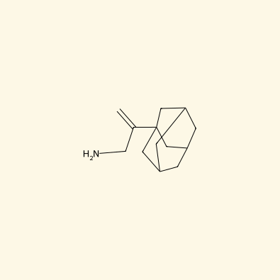 C=C(CN)C12CC3CC(CC(C3)C1)C2